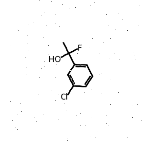 CC(O)(F)c1cccc(Cl)c1